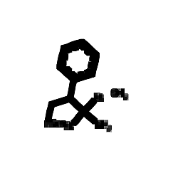 CCCCCCCCCCC(c1ccccc1)C(N)(CC)CC.O